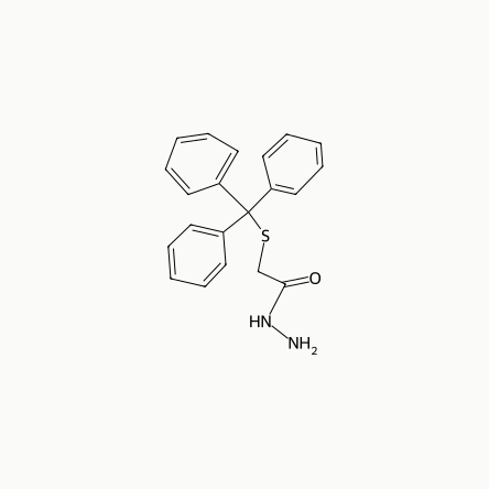 NNC(=O)CSC(c1ccccc1)(c1ccccc1)c1ccccc1